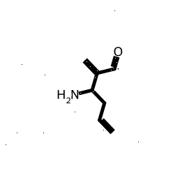 C=CCC(N)C(=C)[C]=O